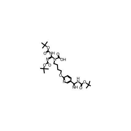 CC(C)(C)OC(=O)/N=C(/NC(=O)OC(C)(C)C)N(CCCCOc1ccc(C(=N)NC(=O)OC(C)(C)C)cn1)C(=O)O